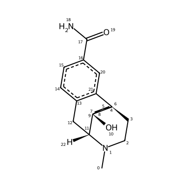 CN1CC[C@]23CCCC[C@@]2(O)[C@H]1Cc1ccc(C(N)=O)cc13